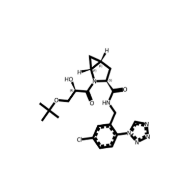 CC(C)(C)OC[C@@H](O)C(=O)N1[C@@H]2C[C@@H]2C[C@H]1C(=O)NCc1cc(Cl)ccc1-n1cnnn1